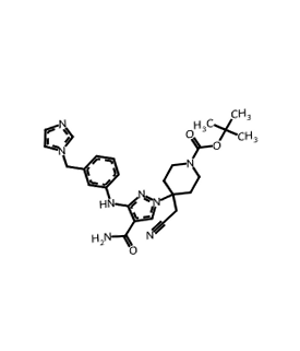 CC(C)(C)OC(=O)N1CCC(CC#N)(n2cc(C(N)=O)c(Nc3cccc(Cn4ccnc4)c3)n2)CC1